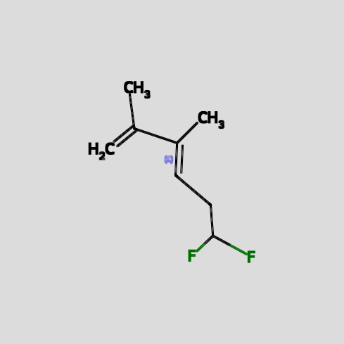 C=C(C)/C(C)=C/CC(F)F